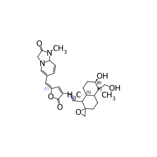 CN1C(=O)CN2C=C(/C=C3C=C(/C=C/C4C5(CCC6[C@]4(C)CC[C@@H](O)[C@@]6(C)CO)CO5)C(=O)O\3)C=CC21